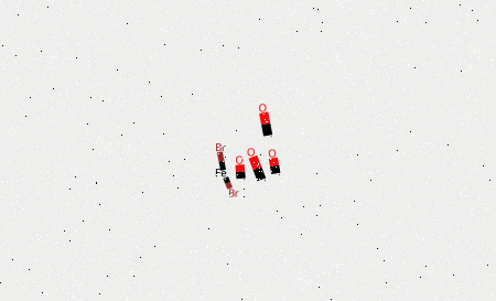 [Br][Fe][Br].[C]=O.[C]=O.[C]=O.[C]=O